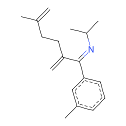 C=C(C)CCC(=C)/C(=N\C(C)C)c1cccc(C)c1